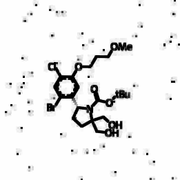 COCCCOc1cc([C@H]2CCC(CO)(CO)N2C(=O)OC(C)(C)C)c(Br)cc1Cl